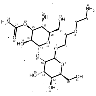 NCCOCCO[C@H]1O[C@@H](CO)[C@@H](O)[C@H](O)[C@@H]1O[C@H]1O[C@H](CO)[C@@H](O)[C@H](OC(N)=O)[C@@H]1O